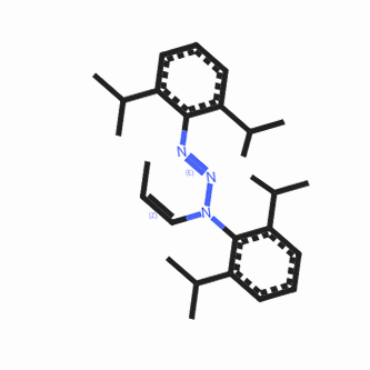 C/C=C\N(/N=N/c1c(C(C)C)cccc1C(C)C)c1c(C(C)C)cccc1C(C)C